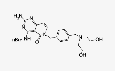 CCCCNc1nc(N)nc2ccn(Cc3ccc(CN(CCO)CCO)cc3)c(=O)c12